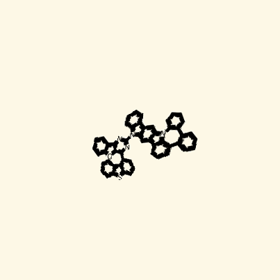 c1ccc2c(c1)-c1ccccc1-n1c3cc4c5ccccc5n(-c5nc(-c6cccc7sc8ccccc8c67)c6oc7ccccc7c6n5)c4cc3c3cccc-2c31